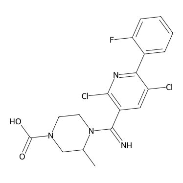 CC1CN(C(=O)O)CCN1C(=N)c1cc(Cl)c(-c2ccccc2F)nc1Cl